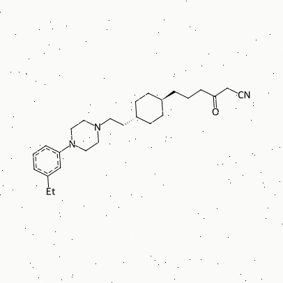 CCc1cccc(N2CCN(CC[C@H]3CC[C@H](CCCC(=O)CC#N)CC3)CC2)c1